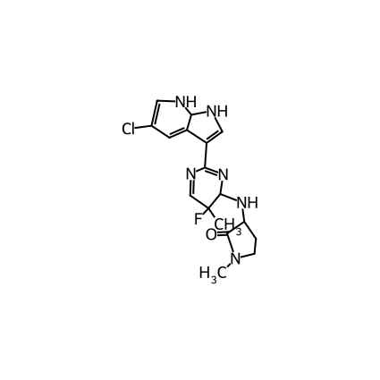 CN1CCC(NC2N=C(C3=CNC4NC=C(Cl)C=C34)N=CC2(C)F)C1=O